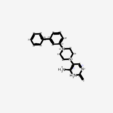 C=C(N)/N=C\C(=C(/C)N)N1CCN(c2cccc(-c3ccccc3)c2)CC1